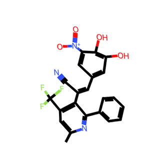 Cc1cc(C(F)(F)F)c(C(C#N)=Cc2cc(O)c(O)c([N+](=O)[O-])c2)c(-c2ccccc2)n1